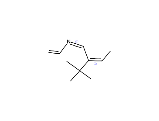 C=C/N=C\C(=C/C)C(C)(C)C